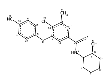 Cc1nc(C(=O)NC2CCCC[C@@H]2O)cc(Cc2ccc(C#N)cc2)c1Cl